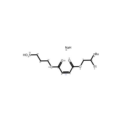 CCCCC(CC)COC(=O)/C=C\C(=O)OCCCS(=O)(=O)O.[NaH]